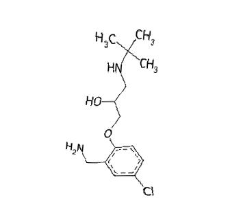 CC(C)(C)NCC(O)COc1ccc(Cl)cc1CN